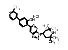 Cc1cc(-c2ccc(-c3cc4nnn(C5CC(C)(C)NC(C)(C)C5)c4nn3)c(O)c2)ccn1.Cl